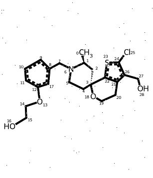 C[C@H]1C[C@@]2(CCN1Cc1cccc(OCCO)c1)OCCc1c2sc(Cl)c1CO